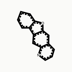 c1cnc2cc3c(cc2c1)oc1ccccc13